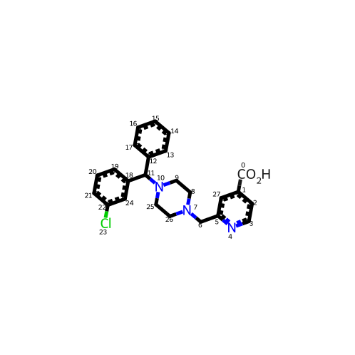 O=C(O)c1ccnc(CN2CCN(C(c3ccccc3)c3cccc(Cl)c3)CC2)c1